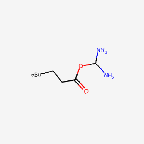 CCCCCCC(=O)OC(N)N